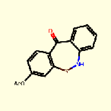 CC(=O)Oc1ccc2c(c1)SNc1ccccc1C2=O